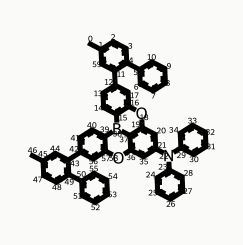 Cc1ccc(-c2ccccc2)c(-c2ccc3c(c2)Oc2cc(N(c4ccccc4)c4ccccc4)cc4c2B3c2ccc(-c3cc(C)ccc3-c3ccccc3)cc2O4)c1